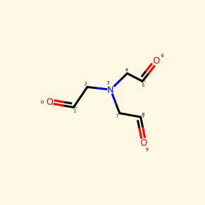 O=[C]CN(C[C]=O)C[C]=O